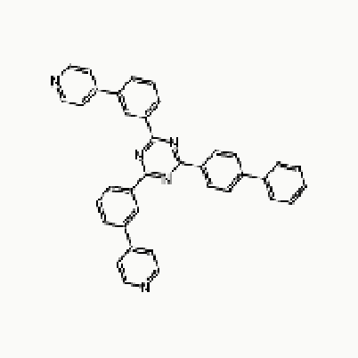 c1ccc(-c2ccc(-c3nc(-c4cccc(-c5ccncc5)c4)nc(-c4cccc(-c5ccncc5)c4)n3)cc2)cc1